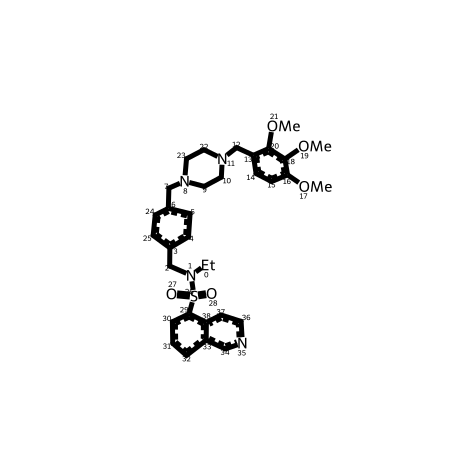 CCN(Cc1ccc(CN2CCN(Cc3ccc(OC)c(OC)c3OC)CC2)cc1)S(=O)(=O)c1cccc2cnccc12